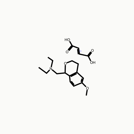 CCN(CC)CC1OCCc2cc(OC)ccc21.O=C(O)/C=C/C(=O)O